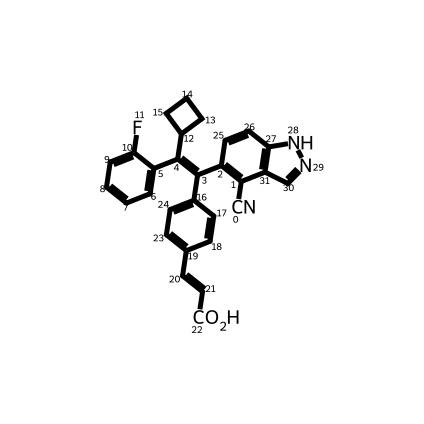 N#Cc1c(C(=C(c2ccccc2F)C2CCC2)c2ccc(C=CC(=O)O)cc2)ccc2[nH]ncc12